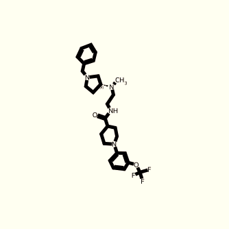 CN(CCNC(=O)C1CCN(c2cccc(OC(F)(F)F)c2)CC1)[C@@H]1CCN(Cc2ccccc2)C1